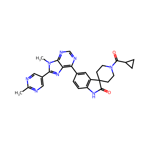 Cc1ncc(-c2nc3c(-c4ccc5c(c4)C4(CCN(C(=O)C6CC6)CC4)C(=O)N5)ncnc3n2C)cn1